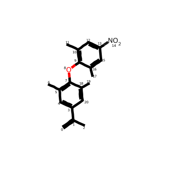 C=C(C)c1cc(C)c(Oc2c(C)cc([N+](=O)[O-])cc2C)c(C)c1